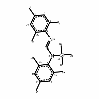 Cc1cc(C)c(N=CN(c2c(C)cc(C)cc2C)[Si](C)(C)C)c(C)c1